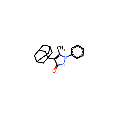 CC1=C(C23CC4CC(CC(C4)C2)C3)C(=O)[N]N1c1ccccc1